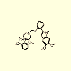 COc1cc2cc(-c3ccccc3CCN3CC[N+](OC)(c4ccccc4OC)C(OC)C3)n(C)c2cc1OC